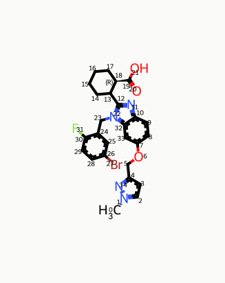 Cn1ccc(COc2ccc3nc(C4CCCC[C@H]4C(=O)O)n(Cc4cc(Br)ccc4F)c3c2)n1